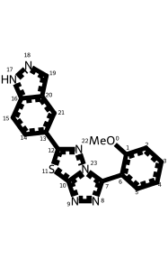 COc1ccccc1-c1nnc2sc(-c3ccc4[nH]ncc4c3)nn12